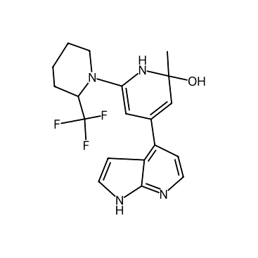 CC1(O)C=C(c2ccnc3[nH]ccc23)C=C(N2CCCCC2C(F)(F)F)N1